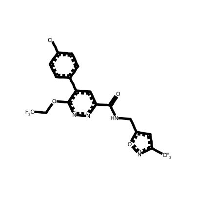 O=C(NCc1cc(C(F)(F)F)no1)c1cc(-c2ccc(Cl)cc2)c(OCC(F)(F)F)nn1